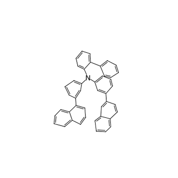 c1ccc(-c2ccccc2N(c2cccc(-c3ccc4ccccc4c3)c2)c2cccc(-c3cccc4ccccc34)c2)cc1